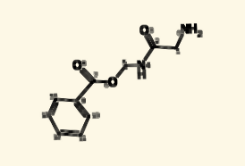 NCC(=O)N[CH]OC(=O)c1ccccc1